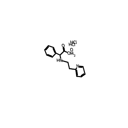 Cl.Cl.O.O=C(O)C(NCCc1ccccn1)c1ccccc1